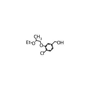 CCOC(C)COc1cc(CO)ccc1Cl